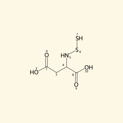 O=C(O)CC(NSS)C(=O)O